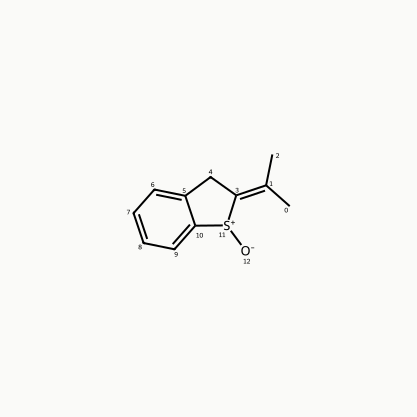 CC(C)=C1Cc2ccccc2[S+]1[O-]